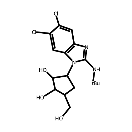 CC(C)(C)Nc1nc2cc(Cl)c(Cl)cc2n1C1CC(CO)C(O)C1O